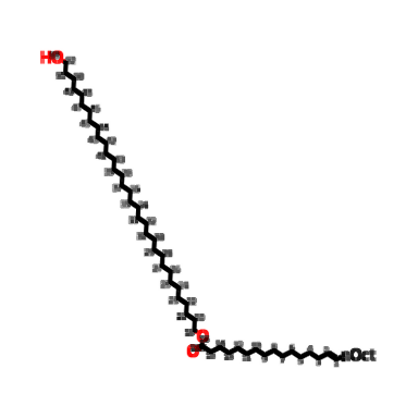 CCCCCCCCC=CCCCCCCCCCCCCCC(=O)OCCCCCCCCCCCCCCCCCCCCCCCCCCCCCCCCCCO